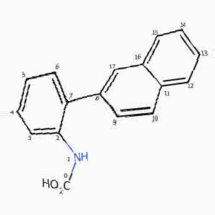 O=C(O)Nc1ccccc1-c1ccc2ccccc2c1